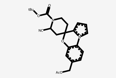 CC(=O)OCc1ccc2c(c1)OC1(CCN(C(=O)OC(C)(C)C)C(C#N)C1)c1cccn1-2